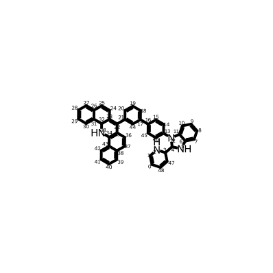 C1=CNC(C2Nc3ccccc3N2c2ccc(-c3cccc(C4=C5C=Cc6ccccc6C5Nc5c4ccc4ccccc54)c3)cc2)C=C1